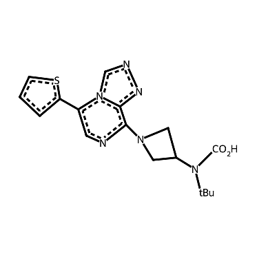 CC(C)(C)N(C(=O)O)C1CN(c2ncc(-c3cccs3)n3cnnc23)C1